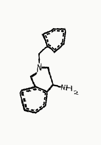 NC1CN(Cc2ccccc2)Cc2ccccc21